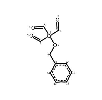 O=[CH][Cr]([CH]=O)([CH]=O)[O]Cc1ccccc1